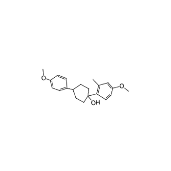 COc1ccc(C2CCC(O)(c3ccc(OC)cc3C)CC2)cc1